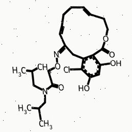 CC(C)CN(CC(C)C)C(=O)CO/N=C1/C=C/CC/C=C/CCOC(=O)c2c(O)cc(O)c(Cl)c2C1